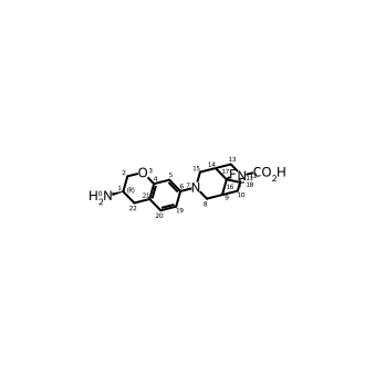 N[C@H]1COc2cc(N3CC4CN(C(=O)O)CC(C3)C4(F)F)ccc2C1